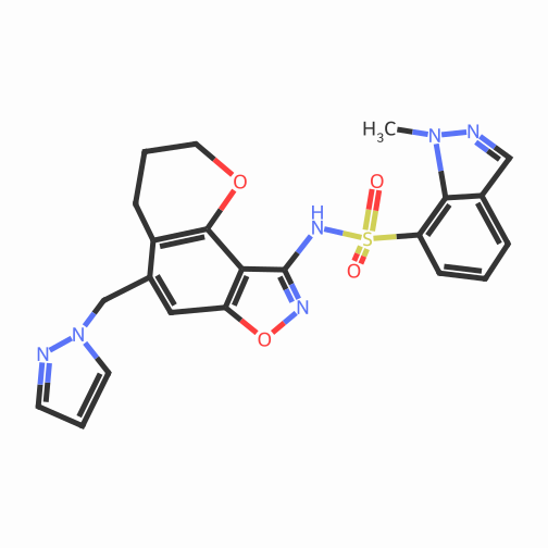 Cn1ncc2cccc(S(=O)(=O)Nc3noc4cc(Cn5cccn5)c5c(c34)OCCC5)c21